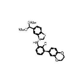 COC(OC)c1ccc2c(c1)N(Nc1cccc(-c3ccc4c(c3)OCCO4)c1Cl)CS2